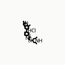 Cc1cc(-c2ccc3nc(N(C)C4CC(C)NC(C)C4)sc3c2)cc2cn(C)nc12.Cl